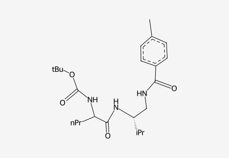 CCCC(NC(=O)OC(C)(C)C)C(=O)N[C@H](CNC(=O)c1ccc(C)cc1)C(C)C